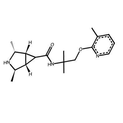 Cc1cccnc1OCC(C)(C)NC(=O)C1[C@@H]2[C@H]1[C@@H](C)N[C@@H]2C